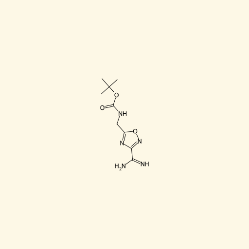 CC(C)(C)OC(=O)NCc1nc(C(=N)N)no1